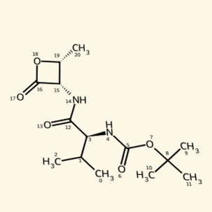 CC(C)[C@H](NC(=O)OC(C)(C)C)C(=O)N[C@@H]1C(=O)O[C@@H]1C